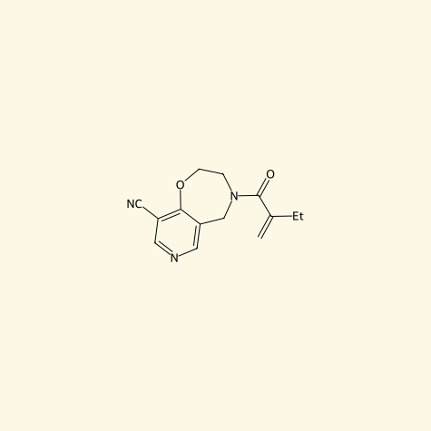 C=C(CC)C(=O)N1CCOc2c(C#N)cncc2C1